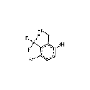 [2H]c1ccc(Br)c(C(F)(F)F)c1CBr